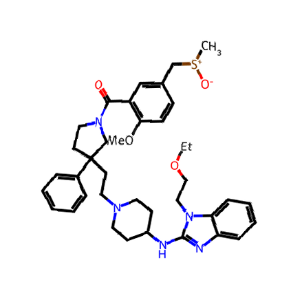 CCOCCn1c(NC2CCN(CCC3(c4ccccc4)CCN(C(=O)c4cc(C[S+](C)[O-])ccc4OC)C3)CC2)nc2ccccc21